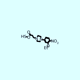 CCOc1cc(N2CCN(CCC(=O)OS)CC2)ccc1[N+](=O)[O-]